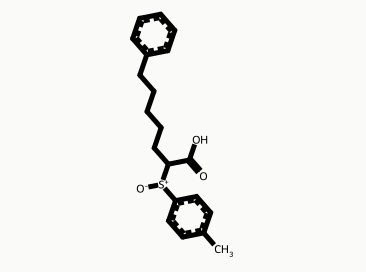 Cc1ccc([S+]([O-])C(CCCCCc2ccccc2)C(=O)O)cc1